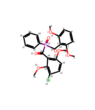 COc1cccc(OC)c1C(=O)P(=O)(C(=O)c1c(OC)ccc(Br)c1OC)c1ccccc1